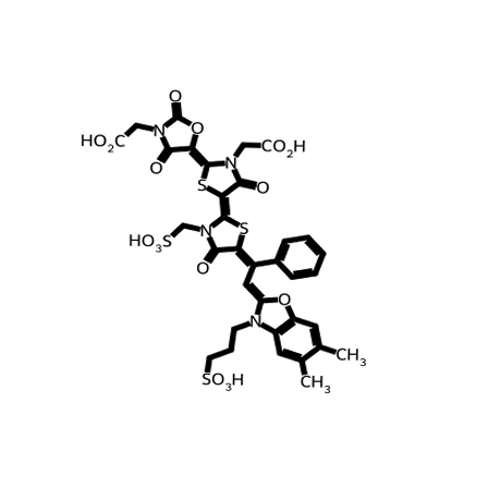 Cc1cc2c(cc1C)N(CCCS(=O)(=O)O)C(=C/C(c1ccccc1)=c1/s/c(=c3/s/c(=C4/OC(=O)N(CC(=O)O)C4=O)n(CC(=O)O)c3=O)n(CS(=O)(=O)O)c1=O)O2